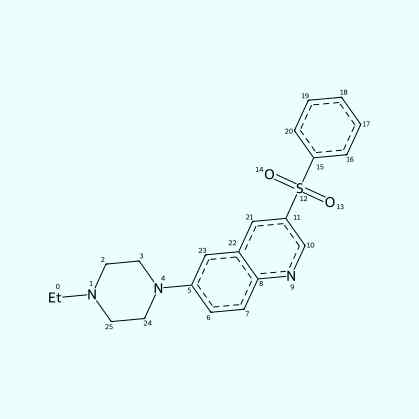 CCN1CCN(c2ccc3ncc(S(=O)(=O)c4ccccc4)cc3c2)CC1